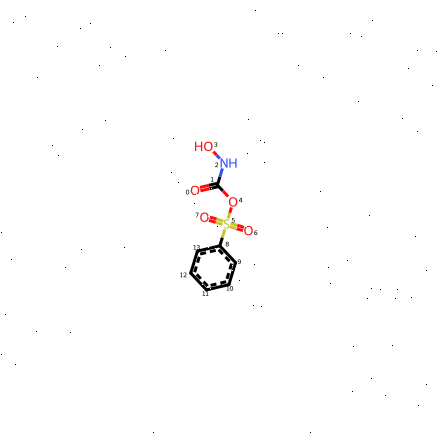 O=C(NO)OS(=O)(=O)c1ccccc1